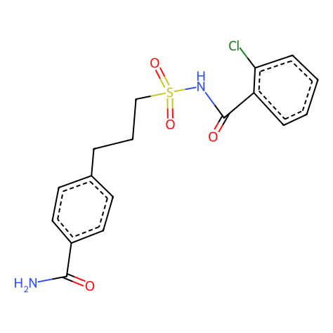 NC(=O)c1ccc(CCCS(=O)(=O)NC(=O)c2ccccc2Cl)cc1